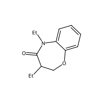 CCC1COc2ccccc2N(CC)C1=O